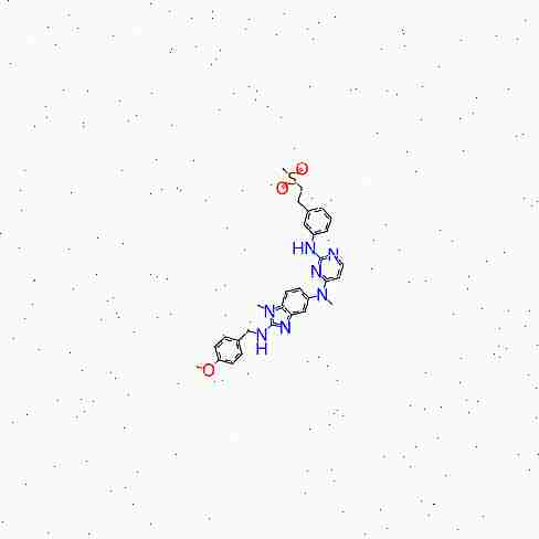 COc1ccc(CNc2nc3cc(N(C)c4ccnc(Nc5cccc(CCS(C)(=O)=O)c5)n4)ccc3n2C)cc1